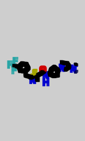 CN(C)C1CCN(c2ccc(NC(=O)c3cnc(Cc4cccc(C(F)(F)F)c4)s3)cc2)C1